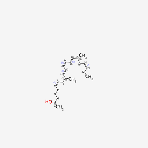 C=C(O)CCC/C=C\C[C@H](C)/C=C/C=C\C=C\[C@H](C)C/C=C\CC